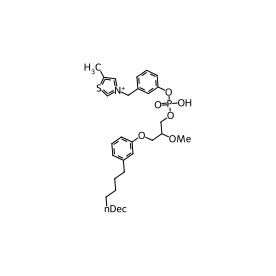 CCCCCCCCCCCCCCc1cccc(OCC(COP(=O)(O)Oc2cccc(C[n+]3csc(C)c3)c2)OC)c1